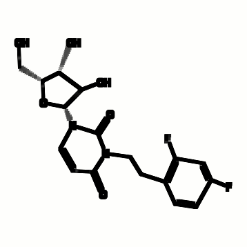 O=c1ccn([C@@H]2O[C@H](CO)[C@H](O)C2O)c(=O)n1CCc1ccc(F)cc1F